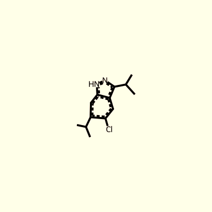 CC(C)c1cc2[nH]nc(C(C)C)c2cc1Cl